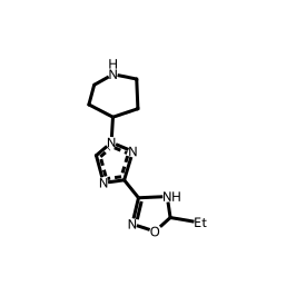 [CH2]CC1NC(c2ncn(C3CCNCC3)n2)=NO1